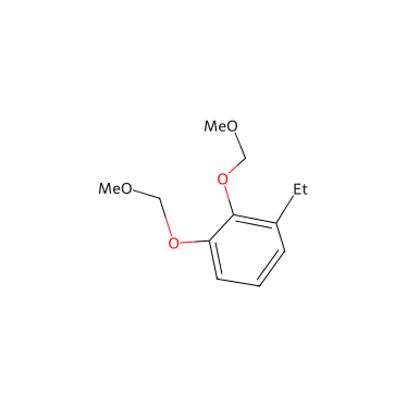 [CH2]Cc1cccc(OCOC)c1OCOC